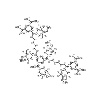 CCCCN(CCCC)c1nc(N(CCCC)CCCC)nc(N(CCCCCCN(c2nc(N(CCCC)C3CC(C)(C)C(OCCC)C(C)(C)C3)nc(N(CCCCCCN(c3nc(N(CCCC)CCCC)nc(N(CCCC)CCCC)n3)C3CC(C)(C)N(OCCC)C(C)(C)C3)C3CC(C)(C)N(OCCC)C(C)(C)C3)n2)C2CC(C)(C)N(OCCC)C(C)(C)C2)C2CC(C)(C)N(OCCC)C(C)(C)C2)n1